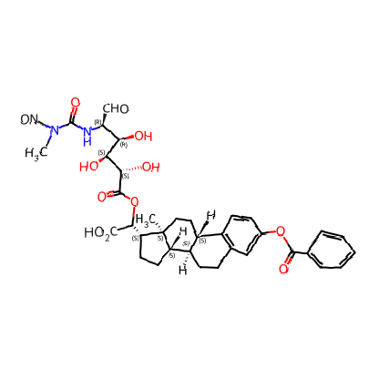 CN(N=O)C(=O)N[C@@H](C=O)[C@@H](O)[C@H](O)[C@H](O)C(=O)OC(C(=O)O)[C@H]1CC[C@H]2[C@@H]3CCc4cc(OC(=O)c5ccccc5)ccc4[C@H]3CC[C@]12C